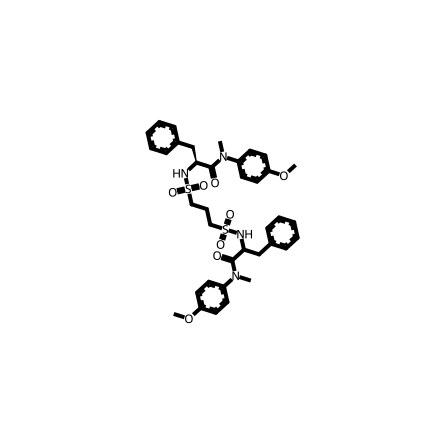 COc1ccc(N(C)C(=O)C(Cc2ccccc2)NS(=O)(=O)CCCS(=O)(=O)N[C@@H](Cc2ccccc2)C(=O)N(C)c2ccc(OC)cc2)cc1